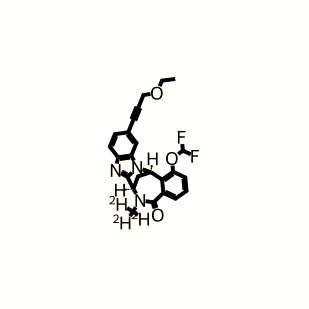 [2H]C([2H])([2H])N1C(=O)c2cccc(OC(F)F)c2[C@H]2C[C@@H]1c1nc3ccc(C#CCOCC)cc3n12